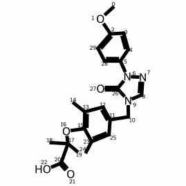 COc1ccc(-n2ncn(Cc3cc(C)c(OC(C)(C)C(=O)O)c(C)c3)c2=O)cc1